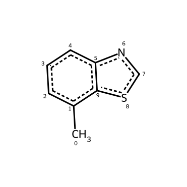 Cc1c[c]cc2ncsc12